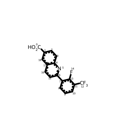 O=C(O)c1ccc2nc(-c3cccc(C(F)(F)F)c3F)ccc2c1